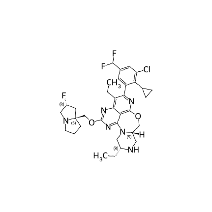 CCc1c(-c2cc(C(F)F)cc(Cl)c2C2CC2)nc2c3c(nc(OC[C@@]45CCCN4C[C@H](F)C5)nc13)N1C[C@@H](CC)NC[C@H]1CO2